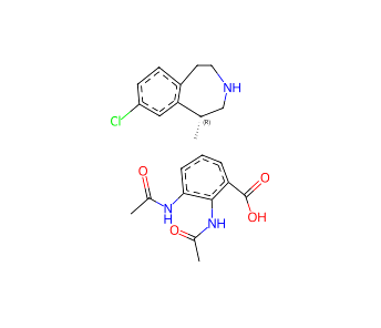 CC(=O)Nc1cccc(C(=O)O)c1NC(C)=O.C[C@H]1CNCCc2ccc(Cl)cc21